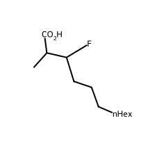 CCCCCCCCCC(F)C(C)C(=O)O